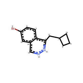 Brc1ccc2c(CC3CCC3)nncc2c1